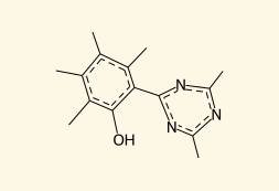 Cc1nc(C)nc(-c2c(C)c(C)c(C)c(C)c2O)n1